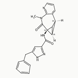 CN1C(=O)[C@]2(NC(=O)c3cc(Cc4ccccc4)[nH]n3)C3[C@@H](c4cccnc41)[C@H]32